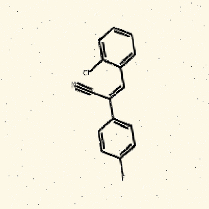 N#CC(=Cc1ccccc1Cl)c1ccc(F)cc1